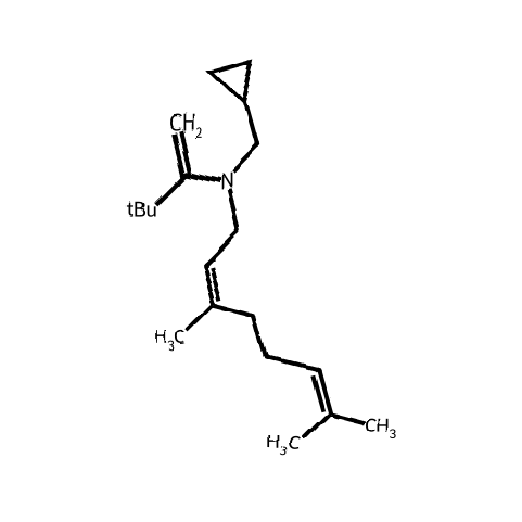 C=C(N(C/C=C(/C)CCC=C(C)C)CC1CC1)C(C)(C)C